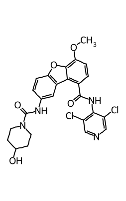 COc1ccc(C(=O)Nc2c(Cl)cncc2Cl)c2c1oc1ccc(NC(=O)N3CCC(O)CC3)cc12